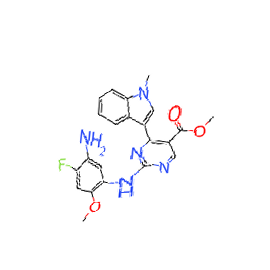 COC(=O)c1cnc(Nc2cc(N)c(F)cc2OC)nc1-c1cn(C)c2ccccc12